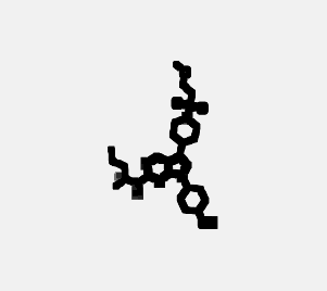 CCC[C@H](C)Nc1ncc2c(C3CCN(S(=O)(=O)CCOC)CC3)cn(C3CCC(O)CC3)c2n1